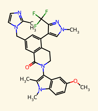 COc1ccc2c(c1)c(N1CCc3c(cc(Cn4ccnc4C)cc3-c3cn(C)nc3C(F)(F)F)C1=O)c(C)n2C